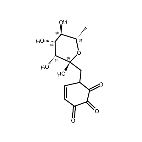 C[C@@H]1O[C@](O)(CC2C=CC(=O)C(=O)C2=O)[C@H](O)[C@H](O)[C@H]1O